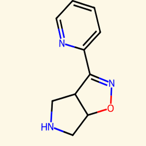 c1ccc(C2=NOC3CNCC23)nc1